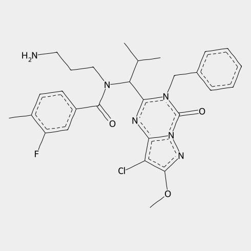 COc1nn2c(=O)n(Cc3ccccc3)c(C(C(C)C)N(CCCN)C(=O)c3ccc(C)c(F)c3)nc2c1Cl